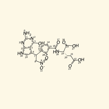 Nc1nc(O)c2c(C(C[N+](=O)[O-])c3ccc(C(=O)N[C@@H](CCC(=O)O)C(=O)O)s3)c[nH]c2n1